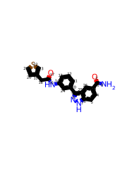 NC(=O)c1ccc2[nH]nc(-c3cccc(NC(=O)Cc4ccsc4)c3)c2c1